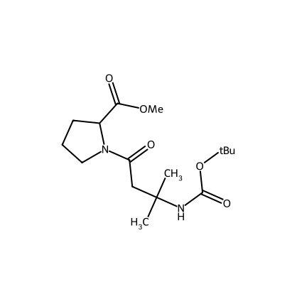 COC(=O)C1CCCN1C(=O)CC(C)(C)NC(=O)OC(C)(C)C